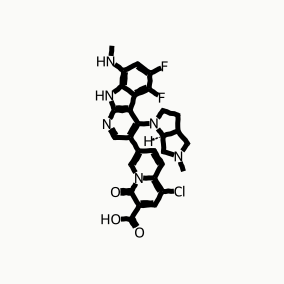 CNc1cc(F)c(F)c2c1[nH]c1ncc(-c3ccc4c(Cl)cc(C(=O)O)c(=O)n4c3)c(N3CCC4CN(C)C[C@H]43)c12